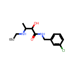 CC(NCC(C)(C)C)C(O)C(=O)NCc1cccc(Cl)c1